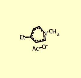 CC(=O)[O-].CCc1cc[n+](C)cc1